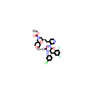 COC(=O)N[C@H](C(=O)Nc1cnccc1CC[C@@H]1CN(C(=O)OC(C)(C)C)CC2(CCOCC2)O1)[C@@H](c1ccc(Cl)cc1)c1cc(F)cc(F)c1